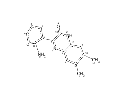 Cc1cc2nc(-c3ccccc3N)c(=O)[nH]c2cc1C